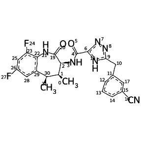 C[C@@H]1[C@H](NC(=O)c2nnc(Cc3cccc(C#N)c3)[nH]2)C(=O)Nc2c(F)cc(F)cc2[C@@H]1C